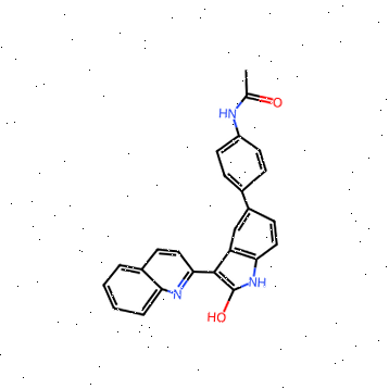 CC(=O)Nc1ccc(-c2ccc3[nH]c(O)c(-c4ccc5ccccc5n4)c3c2)cc1